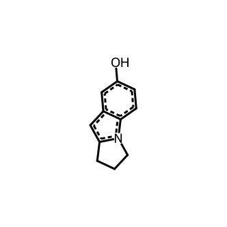 Oc1ccc2c(c1)cc1n2CCC1